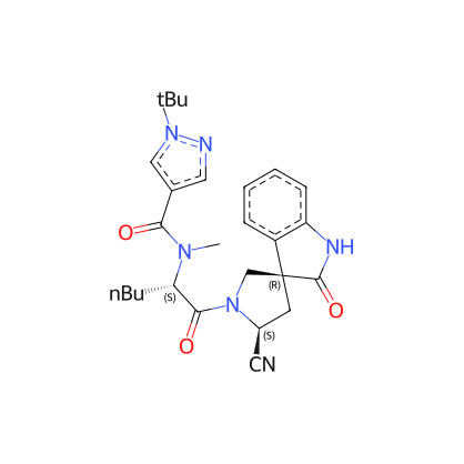 CCCC[C@@H](C(=O)N1C[C@]2(C[C@H]1C#N)C(=O)Nc1ccccc12)N(C)C(=O)c1cnn(C(C)(C)C)c1